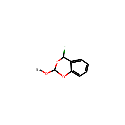 CCOC1Oc2ccccc2C(F)O1